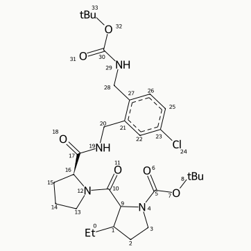 CCC1CCN(C(=O)OC(C)(C)C)C1C(=O)N1CCC[C@H]1C(=O)NCc1cc(Cl)ccc1CNC(=O)OC(C)(C)C